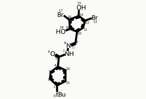 CC(C)(C)c1ccc(C(=O)N/N=C/c2cc(Br)c(O)c(Br)c2O)cc1